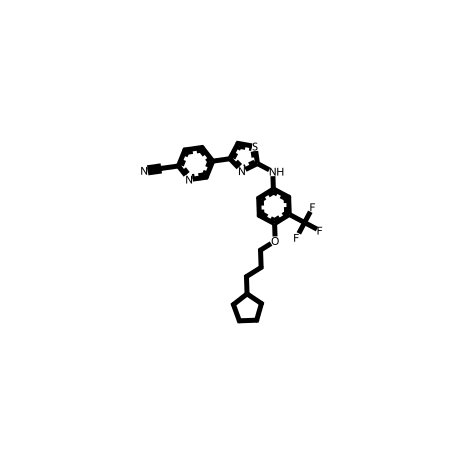 N#Cc1ccc(-c2csc(Nc3ccc(OCCCC4CCCC4)c(C(F)(F)F)c3)n2)cn1